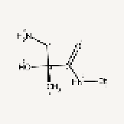 CCNC(=O)[C@](C)(O)CN